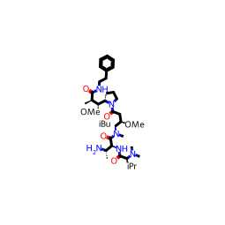 CC[C@H](C)[C@@H]([C@@H](CC(=O)N1CCC[C@H]1[C@H](OC)[C@@H](C)C(=O)NCCc1ccccc1)OC)N(C)C(=O)[C@@H](NC(=O)[C@H](C(C)C)N(C)C)[C@H](C)N